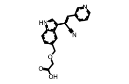 N#CC(=Cc1cccnc1)c1c[nH]c2ccc(COCC(=O)O)cc12